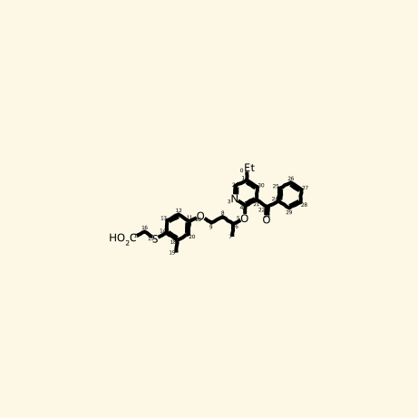 CCc1cnc(OC(C)CCOc2ccc(SCC(=O)O)c(C)c2)c(C(=O)c2ccccc2)c1